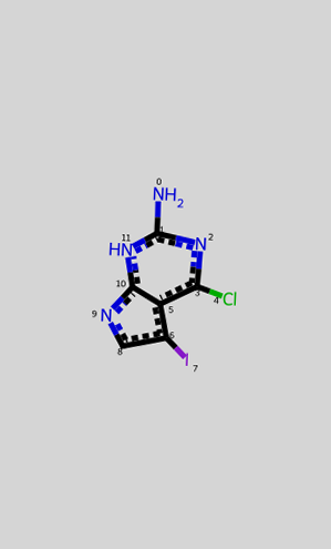 Nc1nc(Cl)c2c(I)cnc-2[nH]1